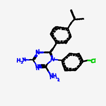 CC(C)c1ccc(C2N=C(N)N=C(N)N2c2ccc(Cl)cc2)cc1